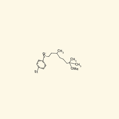 CCc1ccc([S+]([O-])CCC(C)CCCC(C)(C)OC)cc1